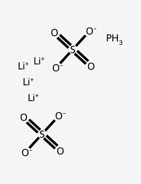 O=S(=O)([O-])[O-].O=S(=O)([O-])[O-].P.[Li+].[Li+].[Li+].[Li+]